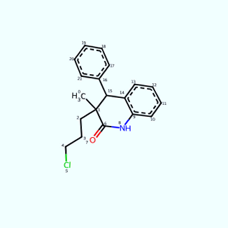 CC1(CCCCl)C(=O)Nc2ccccc2C1c1ccccc1